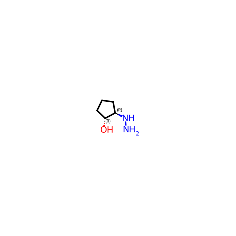 NN[C@@H]1CCC[C@H]1O